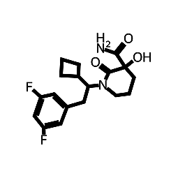 NC(=O)C1(O)CCCN(C(Cc2cc(F)cc(F)c2)C2CCC2)C1=O